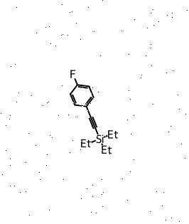 CC[Si](C#Cc1ccc(F)cc1)(CC)CC